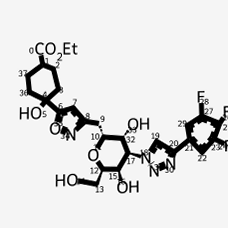 CCOC(=O)C1CCC(O)(c2cc(C[C@H]3O[C@H](CO)[C@H](O)[C@H](n4cc(-c5cc(F)c(F)c(F)c5)nn4)[C@H]3O)no2)CC1